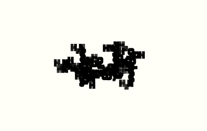 CC[C@H](C)[C@H](NC(=O)[C@H](CCCNC(=N)N)NC(=O)[C@H](CCC(=O)O)NC(=O)[C@@H](C)CCCCN)C(=O)N[C@@H](CCC(=O)O)C(=O)NCC(=O)N[C@@H](CC(C)C)C(=O)N[C@@H](CCCNC(=N)N)C(=O)N[C@@H](CCCCN)C(=O)NC